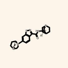 O=C(N[C@H]1CN2CCC1CC2)c1nsc2cc(N3CCN4CCC3CC4)ccc12